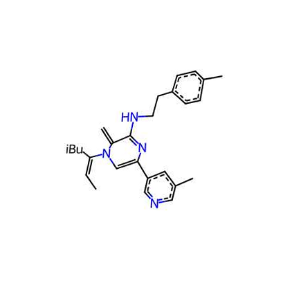 C=C1C(NCCc2ccc(C)cc2)=NC(c2cncc(C)c2)=CN1/C(=C\C)C(C)CC